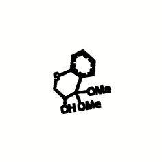 COC1(OC)c2ccccc2SCC1O